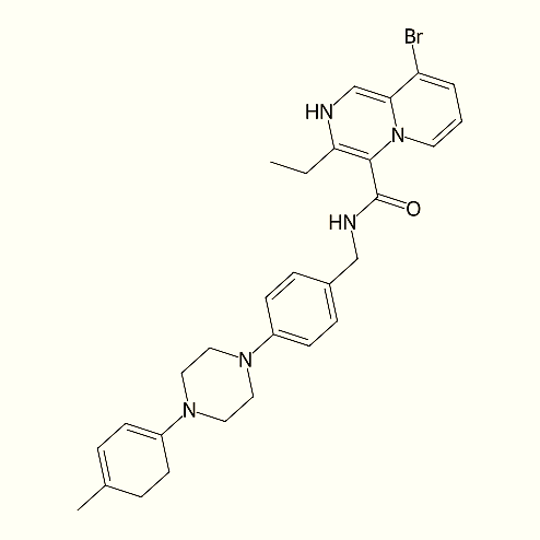 CCC1=C(C(=O)NCc2ccc(N3CCN(C4=CC=C(C)CC4)CC3)cc2)N2C=CC=C(Br)C2=CN1